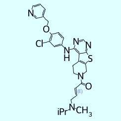 CC(C)N(C)C/C=C/C(=O)N1CCc2c(sc3ncnc(Nc4ccc(OCc5cccnc5)c(Cl)c4)c23)C1